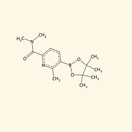 Cc1nc(C(=O)N(C)C)ccc1B1OC(C)(C)C(C)(C)O1